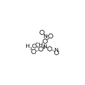 CC1(C)c2ccccc2-c2ccc(N(c3ccc(-c4ccccn4)cc3)c3ccc4c(c3)c3ccccc3n4-c3ccccc3)cc21